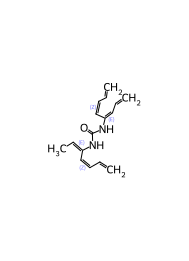 C=C/C=C\C(=C/C)NC(=O)NC(/C=C\C=C)=C/C=C